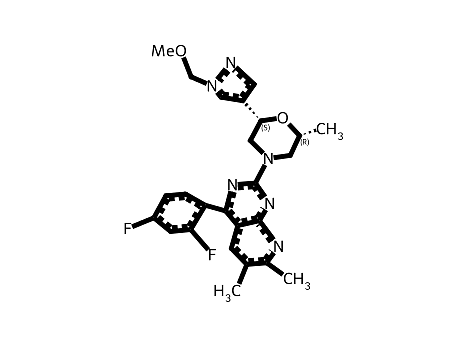 COCn1cc([C@H]2CN(c3nc(-c4ccc(F)cc4F)c4cc(C)c(C)nc4n3)C[C@@H](C)O2)cn1